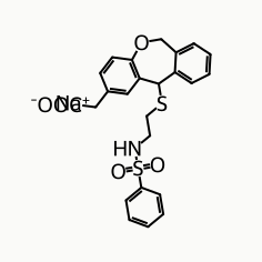 O=C([O-])Cc1ccc2c(c1)C(SCCNS(=O)(=O)c1ccccc1)c1ccccc1CO2.[Na+]